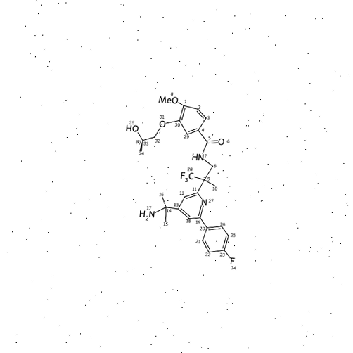 COc1ccc(C(=O)NCC(C)(c2cc(C(C)(C)N)cc(-c3ccc(F)cc3)n2)C(F)(F)F)cc1OC[C@@H](C)O